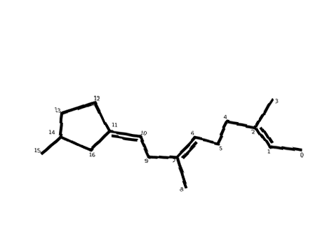 CC=C(C)CCC=C(C)CC=C1CCC(C)C1